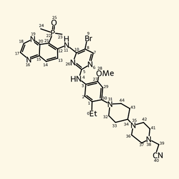 CCc1cc(Nc2ncc(Br)c(Nc3ccc4nccnc4c3P(C)(C)=O)n2)c(OC)cc1N1CCC(N2CCN(CC#N)CC2)CC1